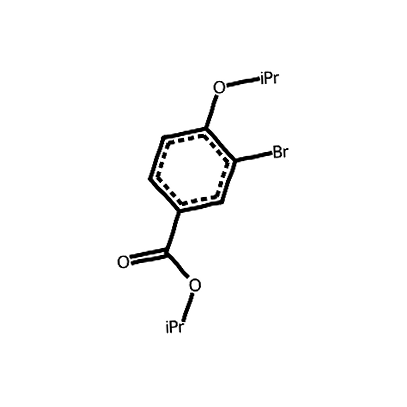 CC(C)OC(=O)c1ccc(OC(C)C)c(Br)c1